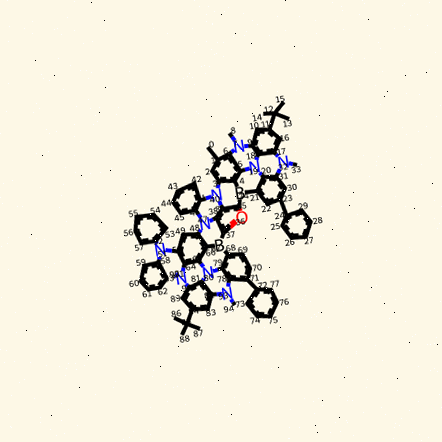 Cc1cc2c3c4c1N(C)c1cc(C(C)(C)C)cc5c1N4c1c(cc(-c4ccccc4)cc1N5C)B3c1oc3c4c1N2c1ccccc1N4c1cc(N(c2ccccc2)c2ccccc2)c2c4c1B3c1ccc(-c3ccccc3)c3c1N4c1c(cc(C(C)(C)C)cc1N2C)N3C